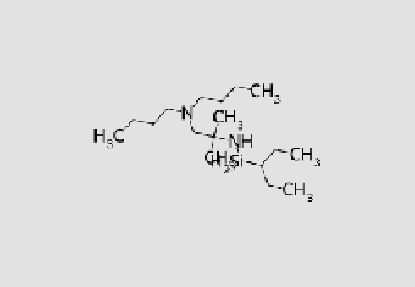 CCCCN(CCCC)CC(C)(C)N[SiH2]C(CC)CC